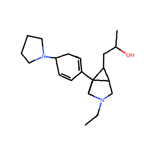 CCN1CC2C(CC(C)O)C2(C2=CCC(N3CCCC3)C=C2)C1